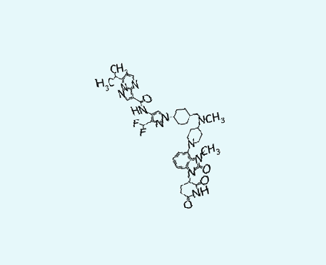 CC(C)c1ccnc2c(C(=O)Nc3cn([C@H]4CC[C@H](CN(C)C5CCN(c6cccc7c6n(C)c(=O)n7C6CCC(=O)NC6=O)CC5)CC4)nc3C(F)F)cnn12